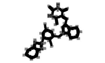 C=C1NC(=C)C(=Cc2cn(Cc3cc(C)cc(-n4nc5ccccc5n4)c3C)c3ccccc23)C(=C)N1